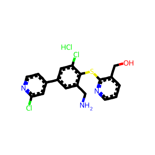 Cl.NCc1cc(-c2ccnc(Cl)c2)cc(Cl)c1Sc1ncccc1CO